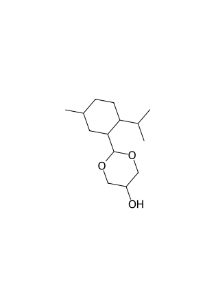 CC1CCC(C(C)C)C(C2OCC(O)CO2)C1